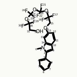 Cn1c(-c2ccccc2)cc2ccc(OCC(F)(F)OC(F)(F)OC(F)(F)OC(F)(F)CO)cc21